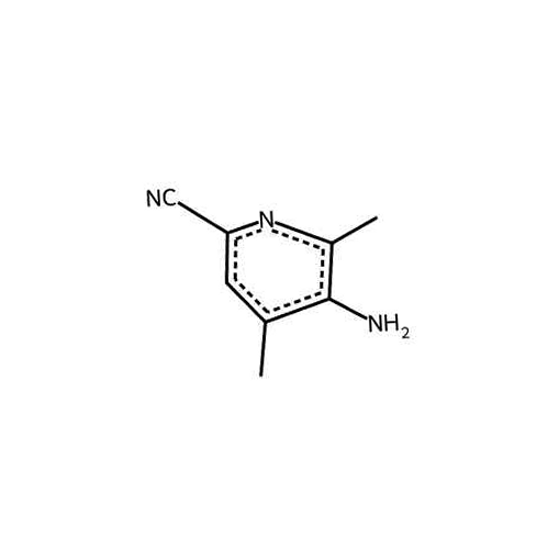 Cc1cc(C#N)nc(C)c1N